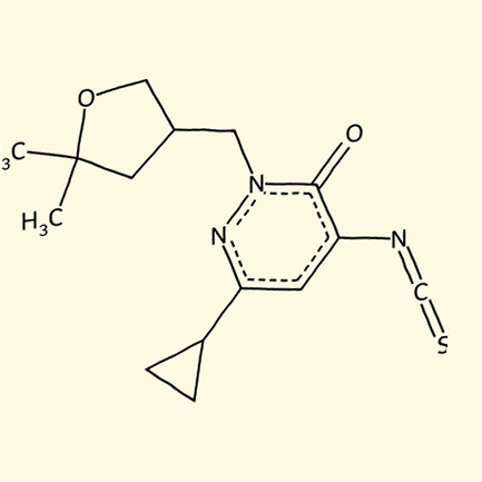 CC1(C)CC(Cn2nc(C3CC3)cc(N=C=S)c2=O)CO1